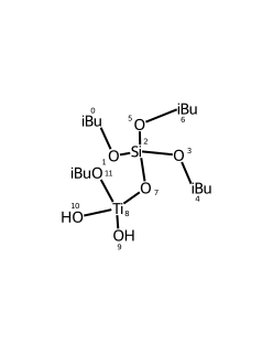 CCC(C)O[Si](OC(C)CC)(OC(C)CC)[O][Ti]([OH])([OH])[O]CC(C)C